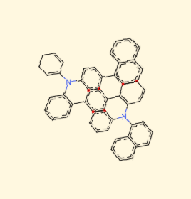 C1=CC(N(c2ccc(-c3cccc4ccccc34)cc2)c2ccccc2-c2ccc(C3=C(N(c4ccccc4)c4cccc5ccccc45)C=CCC3)cc2)=CCC1